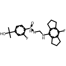 CC(C)(O)c1ccc([SH](=O)=NCNc2c3c(c(F)c4c2CCC4)CCC3)c(F)c1